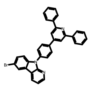 Brc1ccc2c(c1)c1cccnc1n2-c1ccc(-c2cc(-c3ccccc3)nc(-c3ccccc3)c2)cc1